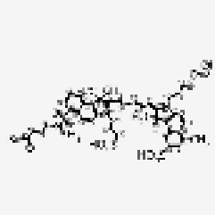 Cc1cc(S(=O)(=O)O)cc2c3c(ccc12)N(CCCSOOO)/C(=C/C=C/C=C/C1=[N+](CCCS(=O)(=O)O)c2ccc4c(S(=O)(=O)N(C)CCCC(=O)C(C)(C)C)cccc4c2C1(C)C)C3(C)C